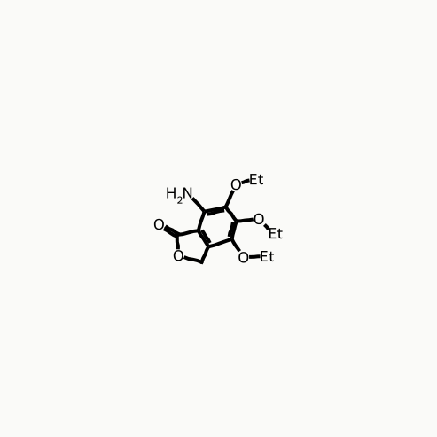 CCOc1c(N)c2c(c(OCC)c1OCC)COC2=O